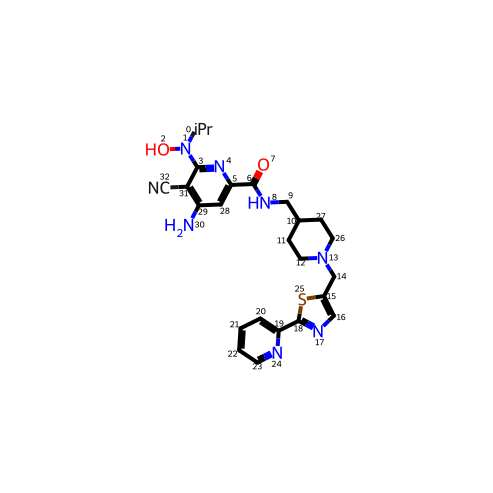 CC(C)N(O)c1nc(C(=O)NCC2CCN(Cc3cnc(-c4ccccn4)s3)CC2)cc(N)c1C#N